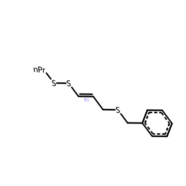 CCCSS/C=C/CSCc1ccccc1